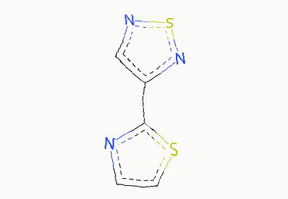 c1csc(-c2cnsn2)n1